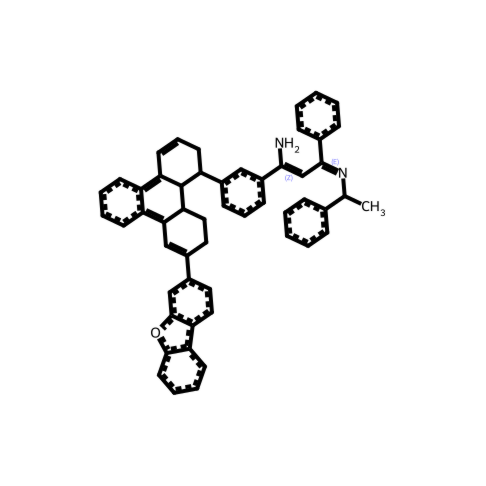 CC(/N=C(\C=C(/N)c1cccc(C2CC=CC3=c4ccccc4=C4C=C(c5ccc6c(c5)oc5ccccc56)CCC4C32)c1)c1ccccc1)c1ccccc1